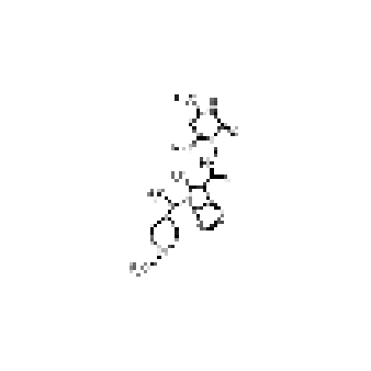 CSc1cc(C)[nH]c(=O)c1CNC(=O)c1c(C)n(C(C)C2CCN(CC(F)(F)F)CC2)c2ncncc12